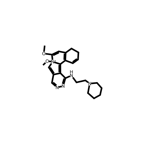 COC1=CC2=C(C=CCC2)C2=c3c(NCCN4CCCCC4)nncc3=C[N+]12OC